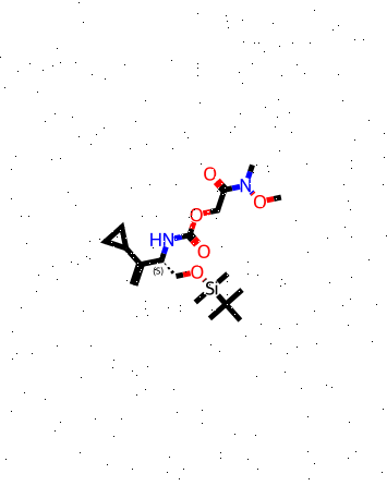 C=C(C1CC1)[C@@H](CO[Si](C)(C)C(C)(C)C)NC(=O)OCC(=O)N(C)OC